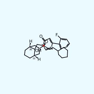 O=C(CCC1CCCCC1)N1C[C@H]2CCC[C@@H](C1)C2(O)Cn1cnc(-c2ccccc2F)cc1=O